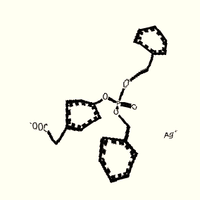 O=C([O-])Cc1ccc(OP(=O)(OCc2ccccc2)OCc2ccccc2)cc1.[Ag+]